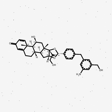 C[C@]12C=CC(=O)C=C1CC[C@@H]1[C@@H]2[C@@H](O)C[C@@]2(C)[C@H]1C[C@H]1O[C@@H](c3ccc(Cc4cc(N)cc(CO)c4)cc3)O[C@]12C(=O)CO